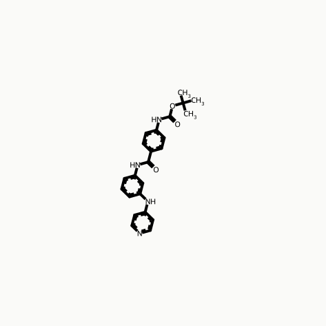 CC(C)(C)OC(=O)Nc1ccc(C(=O)Nc2cccc(Nc3ccncc3)c2)cc1